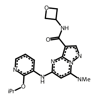 CNc1cc(Nc2cccnc2OC(C)C)nc2c(C(=O)NC3COC3)cnn12